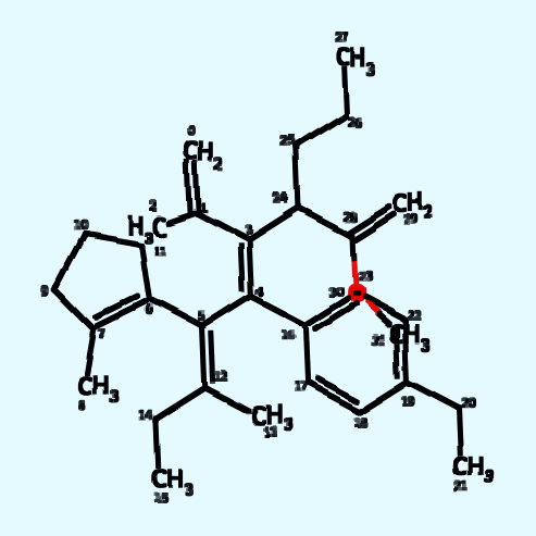 C=C(C)/C(=C(\C(C1=C(C)CCC1)=C(/C)CC)c1ccc(CC)cc1)C(CCC)C(=C)OC